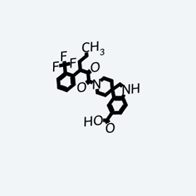 CCCC(C(=O)C(=O)N1CCC2(CC1)CNc1ccc(C(=O)O)cc12)c1ccccc1C(F)(F)F